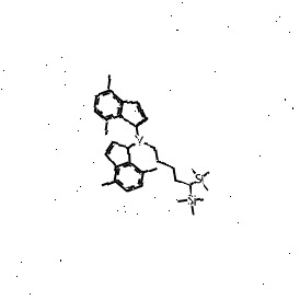 Cc1ccc(C)c2c1C=C[CH]2[Y]([CH2]CCC[C]([Si](C)(C)C)[Si](C)(C)C)[CH]1C=Cc2c(C)ccc(C)c21